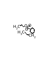 C=CCC.C=CCOS(=O)(=O)c1ccccc1